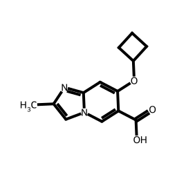 Cc1cn2cc(C(=O)O)c(OC3CCC3)cc2n1